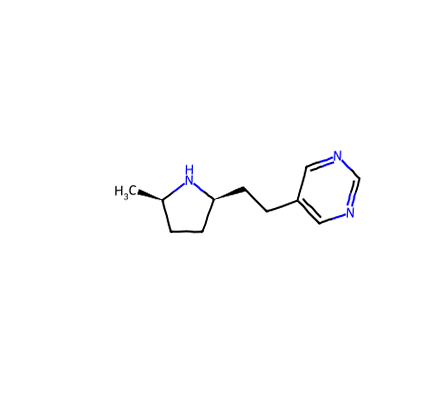 C[C@@H]1CC[C@H](CCc2cncnc2)N1